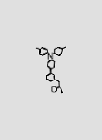 C=CC(=O)Cc1cccc(-c2ccc(N(c3ccc(C)cc3)c3ccc(C)cc3)cc2)c1